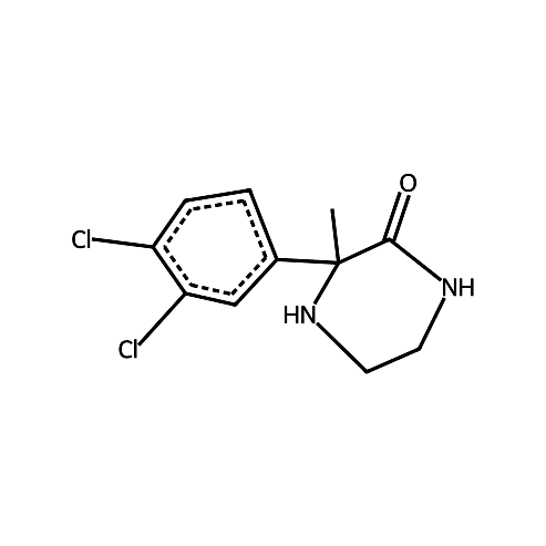 CC1(c2ccc(Cl)c(Cl)c2)NCCNC1=O